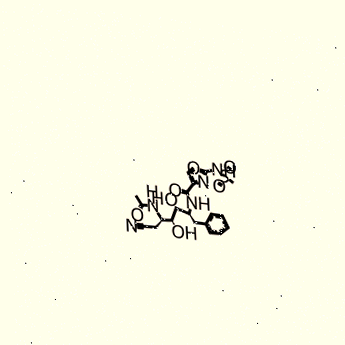 CC(=O)N[C@H](CC#N)[C@@H](O)[C@H](O)[C@H](Cc1ccccc1)NC(=O)c1coc(NS(C)(=O)=O)n1